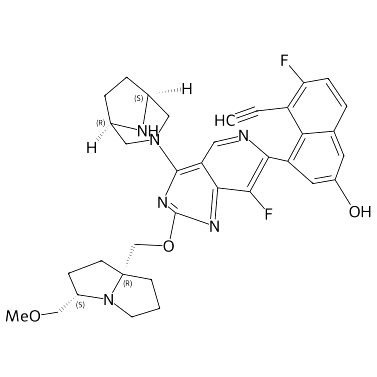 C#Cc1c(F)ccc2cc(O)cc(-c3ncc4c(N5C[C@H]6CC[C@@H](C5)N6)nc(OC[C@]56CCCN5[C@H](COC)CC6)nc4c3F)c12